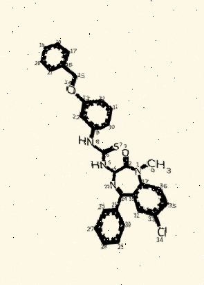 CN1C(=O)C(NC(=S)Nc2cccc(OCc3ccccc3)c2)N=C(c2ccccc2)c2cc(Cl)ccc21